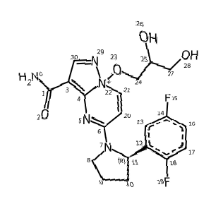 NC(=O)C1=C2N=C(N3CCC[C@@H]3c3cc(F)ccc3F)C=C[N+]2(OCC(O)CO)N=C1